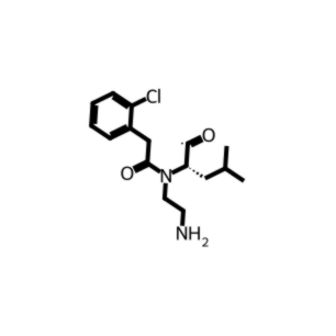 CC(C)C[C@@H]([C]=O)N(CCN)C(=O)Cc1ccccc1Cl